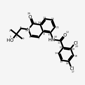 CC(C)(O)Cn1ccc2c(NC(=O)c3ccc(Cl)cc3Cl)cccc2c1=O